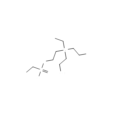 CC[N+](CCO)(CCO)CCOP(=O)(O)CC